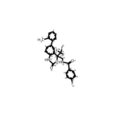 Cc1ccccc1-c1ccc2c(c1)C(CNC(=O)c1ccc(F)cc1)(C(F)(F)F)OC(=O)N2